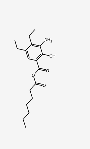 CCCCCCC(=O)OC(=O)c1cc(CC)c(CC)c(N)c1O